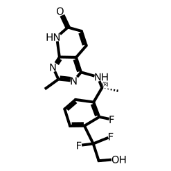 Cc1nc(N[C@H](C)c2cccc(C(F)(F)CO)c2F)c2ccc(=O)[nH]c2n1